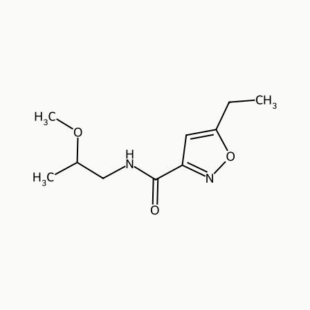 CCc1cc(C(=O)NCC(C)OC)no1